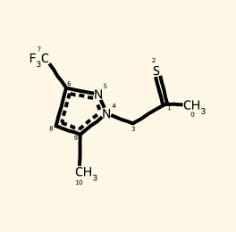 CC(=S)Cn1nc(C(F)(F)F)cc1C